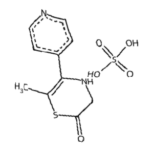 CC1=C(c2ccncc2)NCC(=O)S1.O=S(=O)(O)O